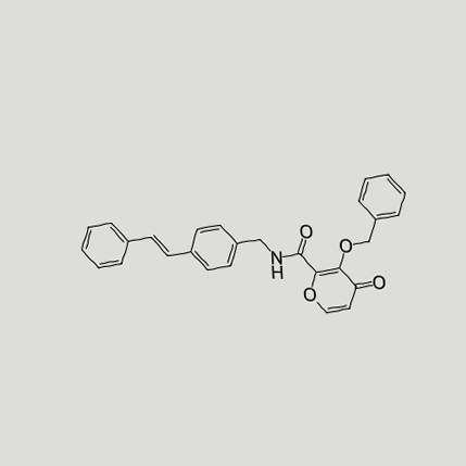 O=C(NCc1ccc(C=Cc2ccccc2)cc1)c1occc(=O)c1OCc1ccccc1